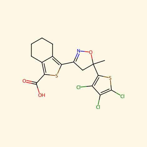 CC1(c2sc(Cl)c(Cl)c2Cl)CC(c2sc(C(=O)O)c3c2CCCC3)=NO1